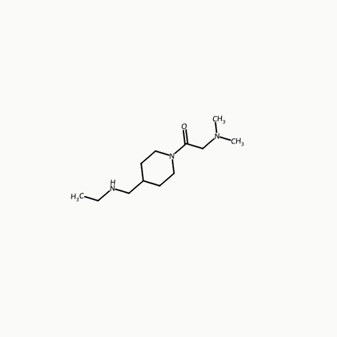 CCNCC1CCN(C(=O)CN(C)C)CC1